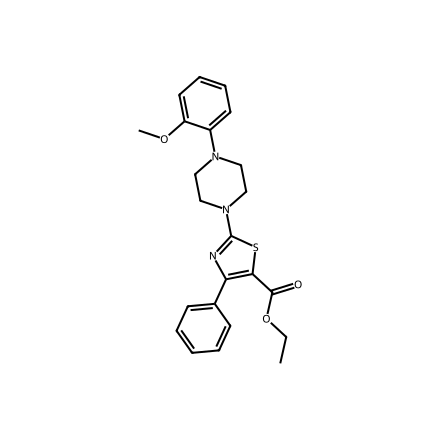 CCOC(=O)c1sc(N2CCN(c3ccccc3OC)CC2)nc1-c1ccccc1